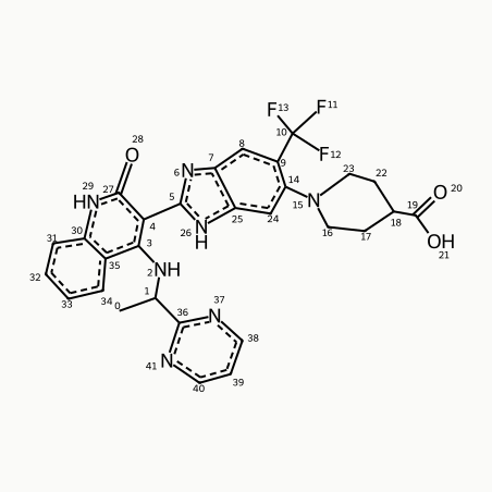 CC(Nc1c(-c2nc3cc(C(F)(F)F)c(N4CCC(C(=O)O)CC4)cc3[nH]2)c(=O)[nH]c2ccccc12)c1ncccn1